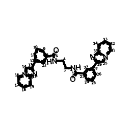 O=C(NCCNC(=O)c1cccc(-c2cn3ccccc3n2)c1)c1cccc(-c2cn3ccccc3n2)c1